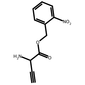 [C]#CC(N)C(=O)OCc1ccccc1[N+](=O)[O-]